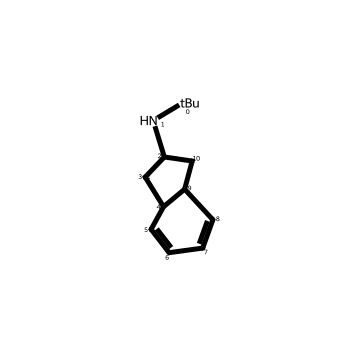 CC(C)(C)NC1[C]C2C=CC=CC2C1